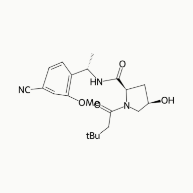 COc1cc(C#N)ccc1[C@H](C)NC(=O)[C@H]1C[C@@H](O)CN1C(=O)CC(C)(C)C